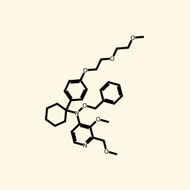 COCCOCCOc1ccc(C2(N(OCc3ccccc3)c3ccnc(COC)c3OC)CCCCC2)cc1